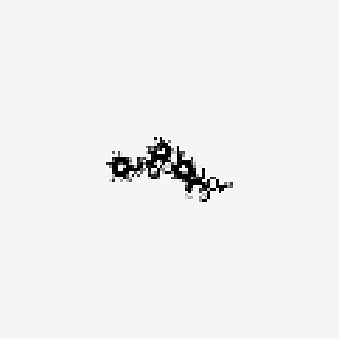 CCOC(=O)c1oc2cc(Cl)c(Oc3ccncc3C(=O)OCc3ccccc3)cc2c1C